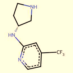 FC(F)(F)c1ccnc(N[C@@H]2CCNC2)c1